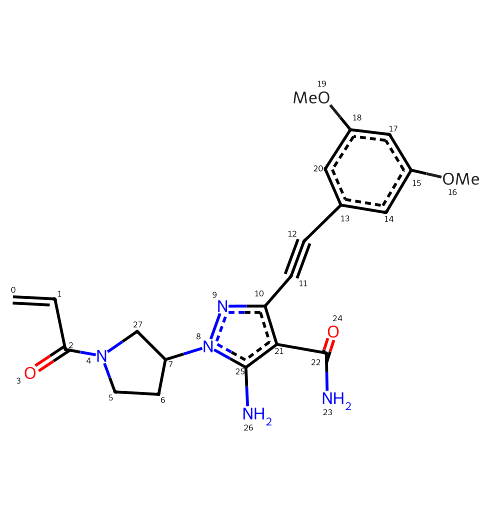 C=CC(=O)N1CCC(n2nc(C#Cc3cc(OC)cc(OC)c3)c(C(N)=O)c2N)C1